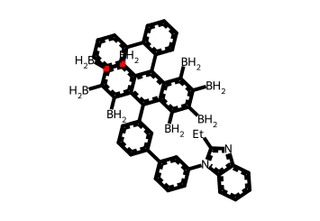 Bc1c(B)c(B)c2c(-c3ccccc3-c3ccccc3)c3c(B)c(B)c(B)c(B)c3c(-c3cccc(-c4cccc(-n5c(CC)nc6ccccc65)c4)c3)c2c1B